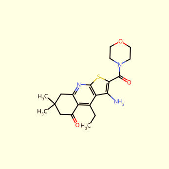 CCc1c2c(nc3sc(C(=O)N4CCOCC4)c(N)c13)CC(C)(C)CC2=O